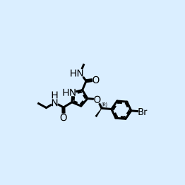 CCNC(=O)c1cc(O[C@H](C)c2ccc(Br)cc2)c(C(=O)NC)[nH]1